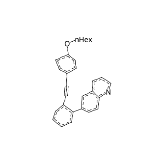 CCCCCCOc1ccc(C#Cc2ccccc2-c2ccc3ncccc3c2)cc1